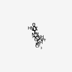 CC(C)[C@@H](Nc1ccnc(-c2ccc(=O)[nH]c2)n1)C(=O)NCC(F)(F)F